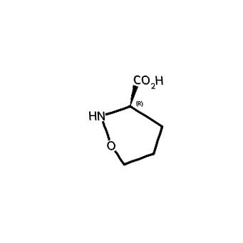 O=C(O)[C@H]1CCCON1